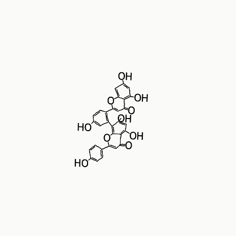 O=c1cc(-c2ccc(O)cc2-c2c(O)cc(O)c3c(=O)cc(-c4ccc(O)cc4)oc23)oc2cc(O)cc(O)c12